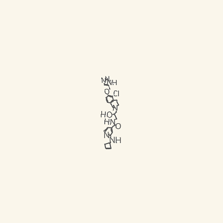 O=C(NCC(O)CN1CCc2c(ccc(OCc3cnn[nH]3)c2Cl)C1)c1ccnc(NC2CCC2)c1